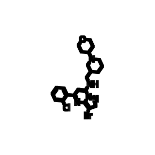 Clc1ccccc1-c1cc(NCC2CCCN(C3CCOCC3)C2)n2ncc(Br)c2n1